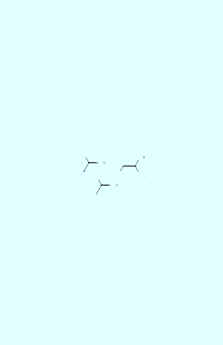 CC(O)C(=O)O.CC(O)C(=O)O.CCCCCCCCCCC(O)CO